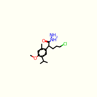 COc1cc(C)c(C(CCCCl)C(=O)NN)cc1C(C)C